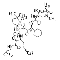 C#CCCC(NC(=O)[C@@H]1[C@H]2CCC(C)(C)[C@H]2CN1C(=O)[C@@H](NC(=O)N[C@H](CN(C)S(C)(=O)=O)C(C)(C)C)C1CCCCC1)C(=O)C(=O)NCC=C